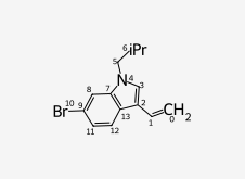 C=Cc1cn(CC(C)C)c2cc(Br)ccc12